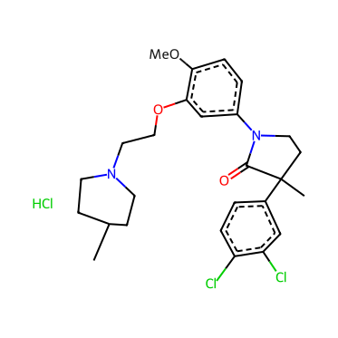 COc1ccc(N2CCC(C)(c3ccc(Cl)c(Cl)c3)C2=O)cc1OCCN1CCC(C)CC1.Cl